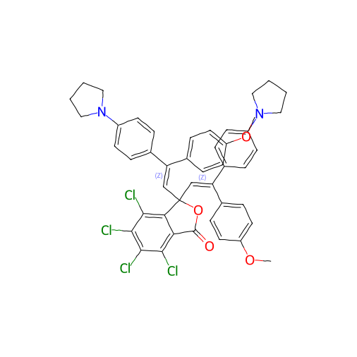 COc1ccc(/C(=C\C2(/C=C(\c3ccc(OC)cc3)c3ccc(N4CCCC4)cc3)OC(=O)c3c(Cl)c(Cl)c(Cl)c(Cl)c32)c2ccc(N3CCCC3)cc2)cc1